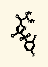 CCCN(CCC)C(=O)n1cc(Cl)c(S(=O)(=O)c2ccc(F)cc2F)n1